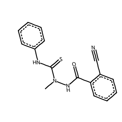 CN(NC(=O)c1ccccc1C#N)C(=S)Nc1ccccc1